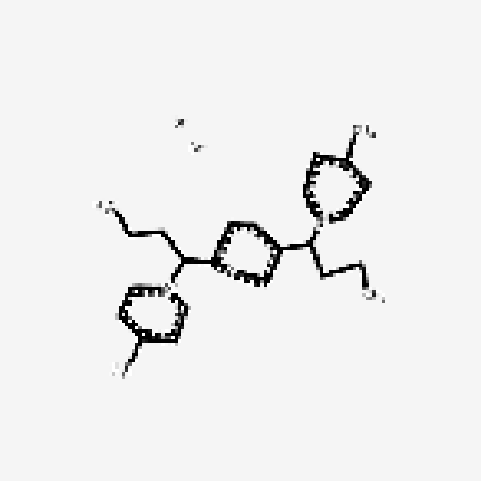 CCCC(c1ccc(C(CCC)[n+]2ccc(C)cc2)cc1)[n+]1ccc(C)cc1.[Br-].[Br-]